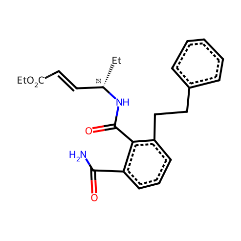 CCOC(=O)C=C[C@H](CC)NC(=O)c1c(CCc2ccccc2)cccc1C(N)=O